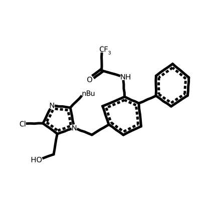 CCCCc1nc(Cl)c(CO)n1Cc1ccc(-c2ccccc2)c(NC(=O)C(F)(F)F)c1